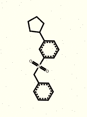 O=S(=O)(Cc1ccccc1)c1cccc(C2CCCC2)c1